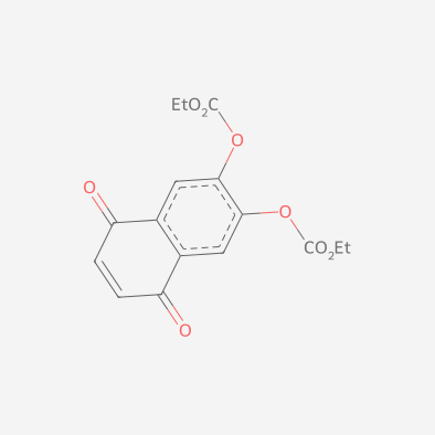 CCOC(=O)Oc1cc2c(cc1OC(=O)OCC)C(=O)C=CC2=O